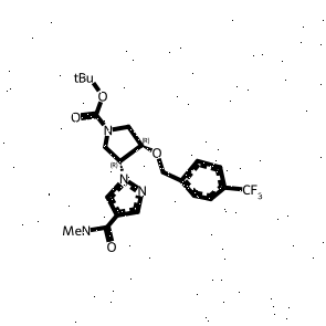 CNC(=O)c1cnn([C@@H]2CN(C(=O)OC(C)(C)C)C[C@H]2OCc2ccc(C(F)(F)F)cc2)c1